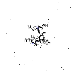 CC1=C(C#C/C(C)=C\CO)C(=O)CC(C)(C)C1/C=C/C(C)=C\C(=O)O